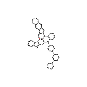 c1ccc(-c2cccc(-c3ccc(N(c4ccc5c(c4)oc4ccccc45)c4ccccc4-c4cccc5c4oc4cc6ccccc6cc45)cc3)c2)cc1